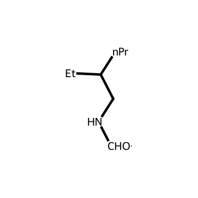 CCCC(CC)CN[C]=O